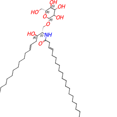 CCCCCCCCCCCCC=CC[C@@H](O)[C@H](CO[C@@H]1O[C@H](CO)[C@@H](O)C(O)C1O)NC(=O)CC=CCCCCCCCCCCCCCCCCCC